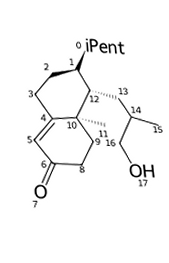 CCC[C@H](C)[C@@H]1CCC2=CC(=O)CC[C@]2(C)[C@H]1CC(C)CO